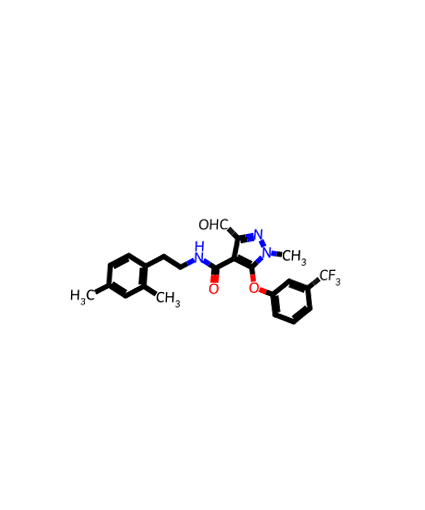 Cc1ccc(CCNC(=O)c2c(C=O)nn(C)c2Oc2cccc(C(F)(F)F)c2)c(C)c1